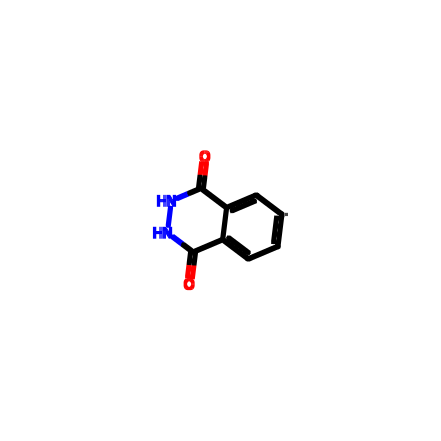 O=c1[nH][nH]c(=O)c2cc[c]cc12